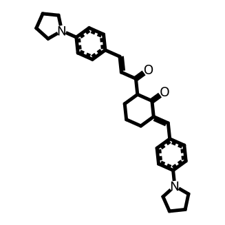 O=C(/C=C/c1ccc(N2CCCC2)cc1)C1CCC/C(=C\c2ccc(N3CCCC3)cc2)C1=O